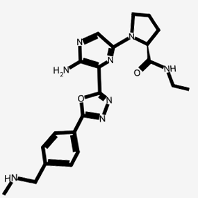 CCNC(=O)[C@@H]1CCCN1c1cnc(N)c(-c2nnc(-c3ccc(CNC)cc3)o2)n1